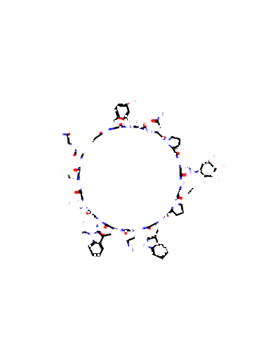 CCCC[C@H]1C(=O)N(C)[C@@H](CCCC)C(=O)N[C@@H](CC(C)C)C(=O)N[C@H](C(=O)NCC(N)=O)CSCC(=O)N[C@@H](Cc2ccc(O)cc2)C(=O)N(C)[C@@H](C)C(=O)N[C@@H](CC(N)=O)C(=O)N2CCC[C@H]2C(=O)N[C@@H](CNC2[C@@H](O)[C@@H](O)[C@@H](O)[C@H](O)[C@H]2O)C(=O)N[C@@H](CC(C)C)C(=O)N2C[C@H](O)C[C@H]2C(=O)N[C@@H](Cc2c[nH]c3ccccc23)C(=O)N[C@@H](CCN)C(=O)N[C@@H](Cc2cn(CC(=O)O)c3ccccc23)C(=O)N1C